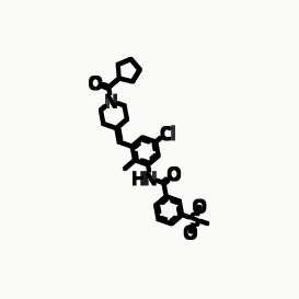 Cc1c(C=C2CCN(C(=O)C3CCCC3)CC2)cc(Cl)cc1NC(=O)c1cccc(S(C)(=O)=O)c1